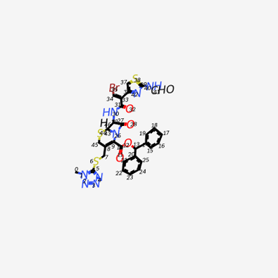 Cn1nnnc1SCC1=C(C(=O)OC(c2ccccc2)c2ccccc2)N2C(=O)C(NC(=O)C(=CBr)c3csc(NC=O)n3)[C@@H]2SC1